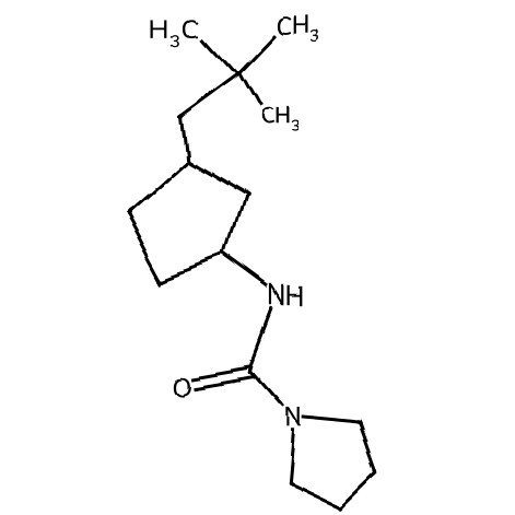 CC(C)(C)CC1CCC(NC(=O)N2CCCC2)C1